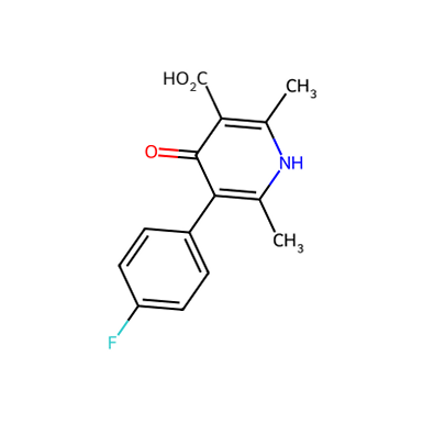 Cc1[nH]c(C)c(-c2ccc(F)cc2)c(=O)c1C(=O)O